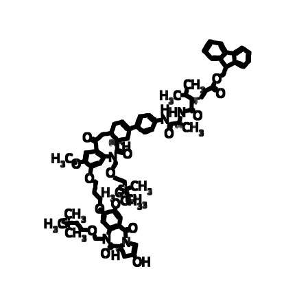 COc1cc2c(cc1OCCCOc1cc3c(cc1OC)C(=O)N1C=C(O)C[C@H]1C(=O)N3COCC[Si](C)(C)C)N(COCC[Si](C)(C)C)C(=O)[C@@H]1CC(c3ccc(NC(=O)[C@H](C)NC(=O)[C@@H](CCC(=O)OCC4c5ccccc5-c5ccccc54)C(C)C)cc3)=CCC1CC2=O